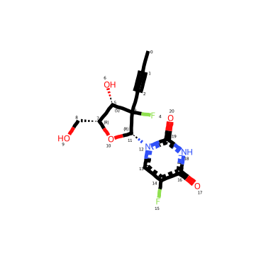 CC#CC1(F)[C@@H](O)[C@@H](CO)O[C@H]1n1cc(F)c(=O)[nH]c1=O